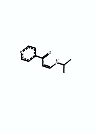 CC(C)N/C=C\C(=O)c1ccncc1